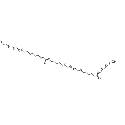 O=C(CSCSCSCCOOCSCSCSCOC(=O)CSCSCSCCOOCSCSCCO)OCSCSCCO